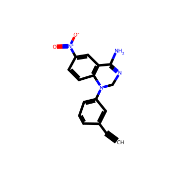 C#Cc1cccc(N2CN=C(N)c3cc([N+](=O)[O-])ccc32)c1